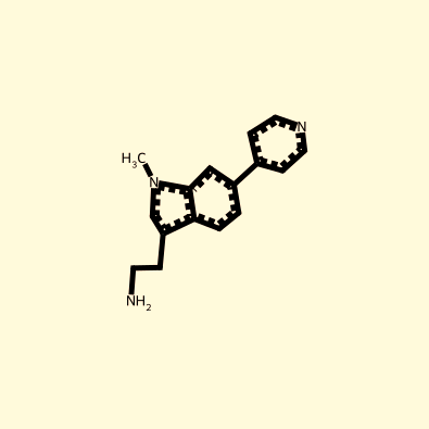 Cn1cc(CCN)c2ccc(-c3ccncc3)cc21